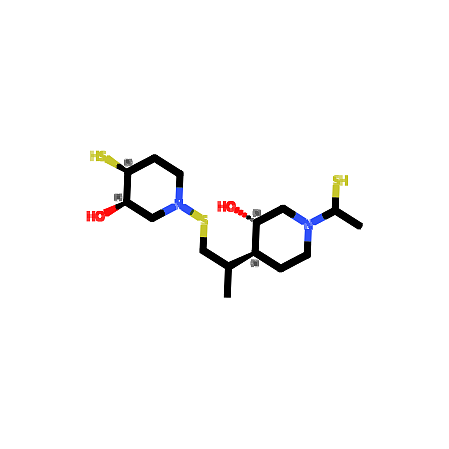 CC(CSN1CC[C@H](S)[C@H](O)C1)[C@@H]1CCN(C(C)S)C[C@H]1O